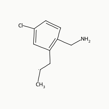 C[CH]Cc1cc(Cl)ccc1CN